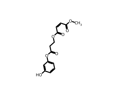 COC(=O)/C=C\C(=O)OCCC(=O)Oc1cccc(O)c1